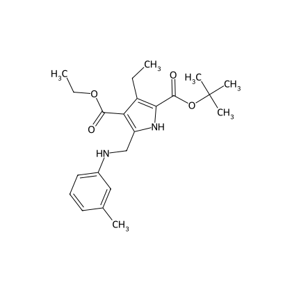 CCOC(=O)c1c(CNc2cccc(C)c2)[nH]c(C(=O)OC(C)(C)C)c1CC